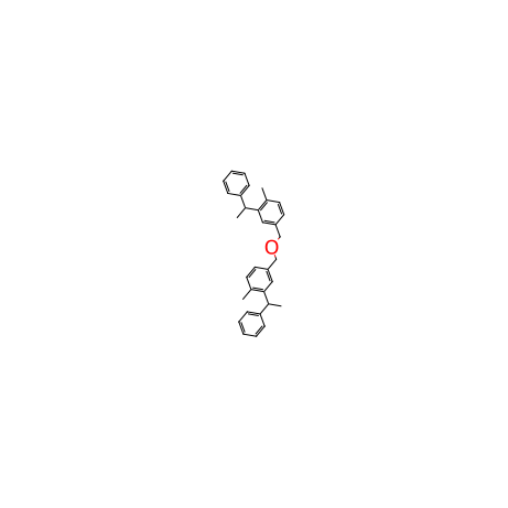 Cc1ccc(COCc2ccc(C)c(C(C)c3ccccc3)c2)cc1C(C)c1ccccc1